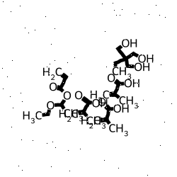 C=C(C)C(=O)O.C=C(C)C(=O)O.C=C(C)C(=O)O.C=CC(=O)OC(C)OCC.CCC(CO)(CO)CO